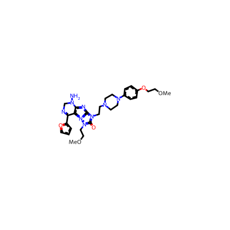 COCCOc1ccc(N2CCN(CCn3c(=O)n(CCOC)n4c5c(nc34)N(N)CN=C5c3ccco3)CC2)cc1